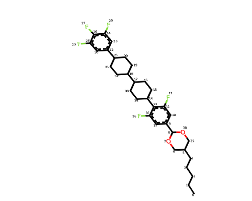 CCCCCC1COC(c2cc(F)c(C3CCC(C4CCC(c5cc(F)c(F)c(F)c5)CC4)CC3)c(F)c2)OC1